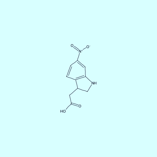 O=C(O)CC1CNc2cc([N+](=O)[O-])ccc21